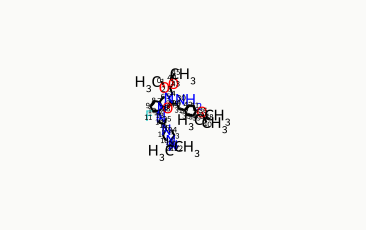 CCOC(CN(Cc1ccc(F)c(N2CC(N3CCN(N(C)C)CC3)C2)n1)C(=O)[C@@H](N)Cc1ccc(OC(C)(C)C)cc1)OCC